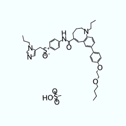 CCCCOCCOc1ccc(-c2ccc3c(c2)C=C(C(=O)Nc2ccc([S@@+]([O-])Cc4cncn4CCC)cc2)CCCN3CCC)cc1.CS(=O)(=O)O